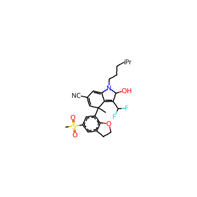 CC(C)CCCN1C2=CC(C#N)=CC(C)(c3cc(S(C)(=O)=O)cc4c3OCC4)C2=C(C(F)F)C1O